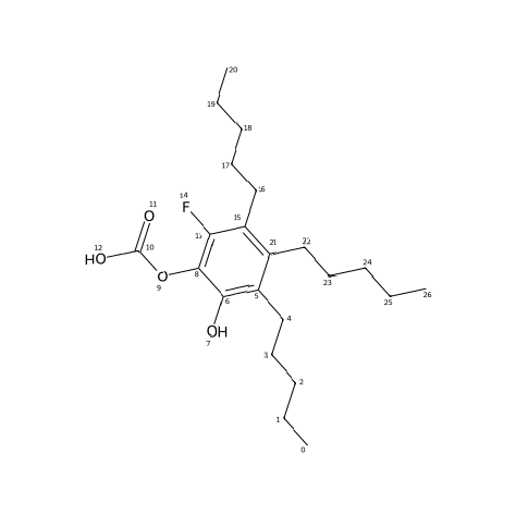 CCCCCc1c(O)c(OC(=O)O)c(F)c(CCCCC)c1CCCCC